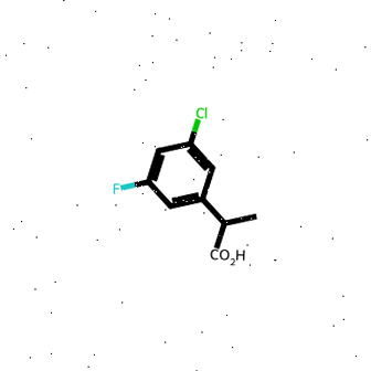 CC(C(=O)O)c1cc(F)cc(Cl)c1